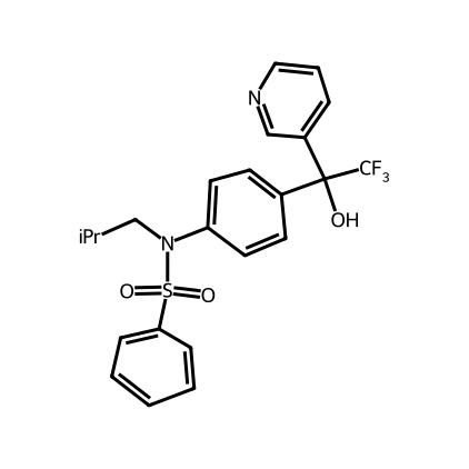 CC(C)CN(c1ccc(C(O)(c2cccnc2)C(F)(F)F)cc1)S(=O)(=O)c1ccccc1